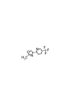 Cc1nc(-c2ccc(C(F)(F)F)cn2)co1